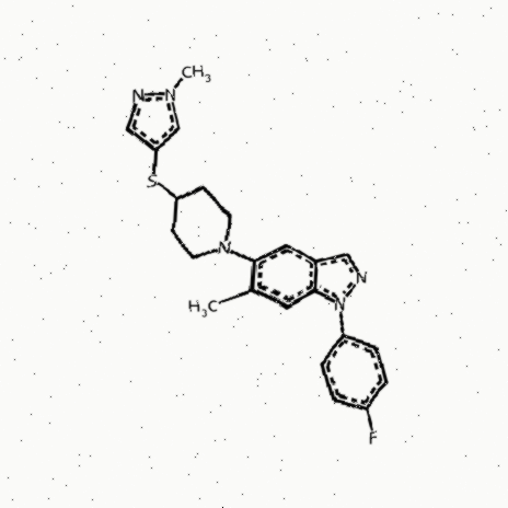 Cc1cc2c(cnn2-c2ccc(F)cc2)cc1N1CCC(Sc2cnn(C)c2)CC1